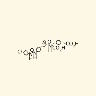 CN1CC(c2ccc(NC(=O)Nc3ccc(Cl)cc3)cc2)CC1C(=O)NC(Cc1ccc(CCC(=O)O)cc1)C(=O)O